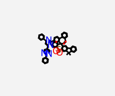 CC1(C)c2ccccc2-c2cc3c(cc21)S(=O)(=O)c1ccccc1C31c2ccccc2-c2ccccc2-c2ccc(-c3nc(-c4ccccc4)cc(-c4cnc(-c5ccccc5)nc4)n3)cc21